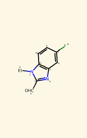 CCn1c(C=O)nc2cc(F)ccc21